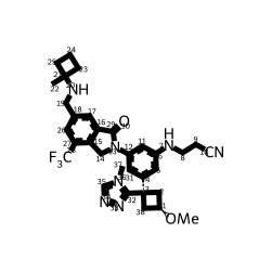 CO[C@H]1C[C@](c2cc(NCCC#N)cc(N3Cc4c(cc(CNC5(C)CCC5)cc4C(F)(F)F)C3=O)c2)(c2nncn2C)C1